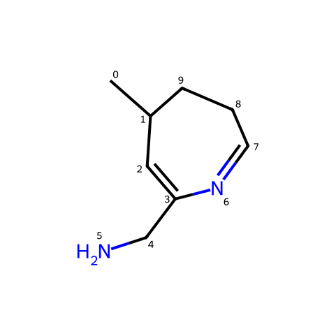 CC1C=C(CN)N=CCC1